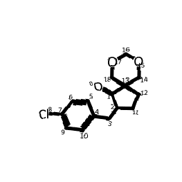 O=C1C(Cc2ccc(Cl)cc2)CCC12COCOC2